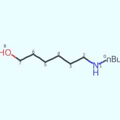 CCCCNCCCCCCO